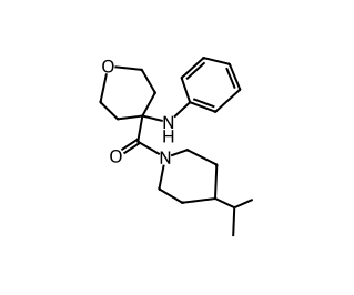 CC(C)C1CCN(C(=O)C2(Nc3ccccc3)CCOCC2)CC1